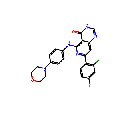 O=c1[nH]cnc2cc(-c3ccc(F)cc3Cl)nc(Nc3ccc(N4CCOCC4)cc3)c12